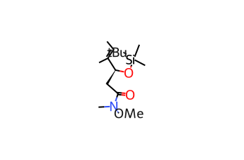 C/C=C(\C)[C@H](CC(=O)N(C)OC)O[Si](C)(C)C(C)(C)C